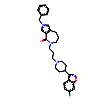 O=C1c2cn(Cc3ccccc3)cc2CCCN1CCCN1CCC(c2noc3cc(F)ccc23)CC1